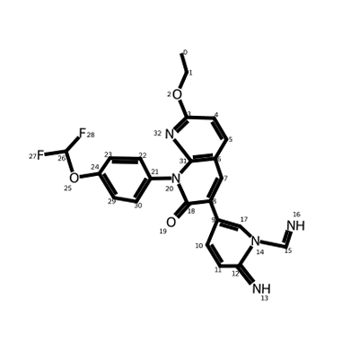 CCOc1ccc2cc(-c3ccc(=N)n(C=N)c3)c(=O)n(-c3ccc(OC(F)F)cc3)c2n1